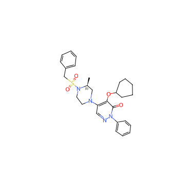 C[C@H]1CN(c2cnn(-c3ccccc3)c(=O)c2OC2CCCCC2)CCN1S(=O)(=O)Cc1ccccc1